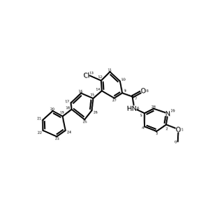 COc1ccc(NC(=O)c2ccc(Cl)c(-c3ccc(-c4ccccc4)cc3)c2)cn1